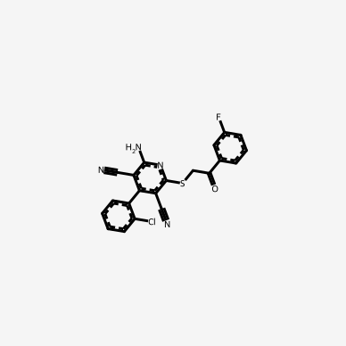 N#Cc1c(N)nc(SCC(=O)c2cccc(F)c2)c(C#N)c1-c1ccccc1Cl